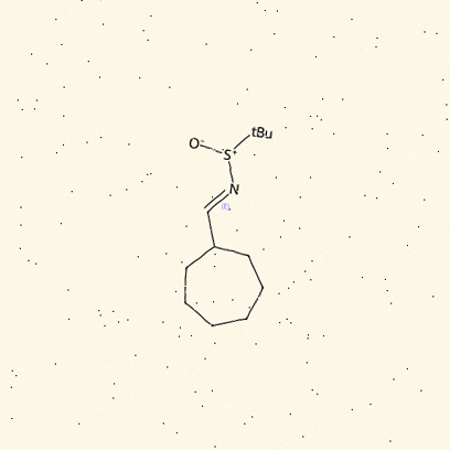 CC(C)(C)[S+]([O-])/N=C/C1CCCCCC1